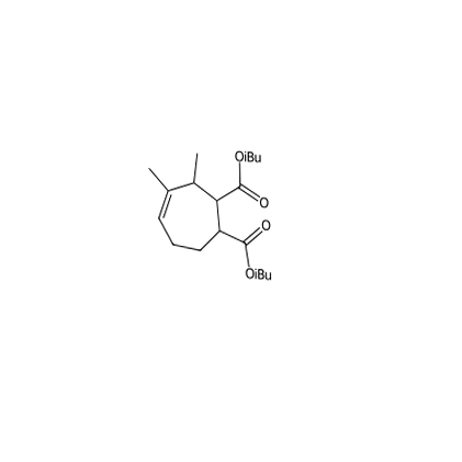 CC1=CCCC(C(=O)OCC(C)C)C(C(=O)OCC(C)C)C1C